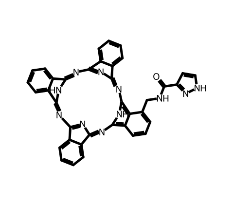 O=C(NCc1cccc2c3nc4nc(nc5[nH]c(nc6nc(nc([nH]3)c12)-c1ccccc1-6)c1ccccc51)-c1ccccc1-4)c1cc[nH]n1